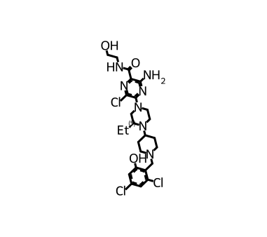 CC[C@H]1CN(c2nc(N)c(C(=O)NCCO)nc2Cl)CCN1C1CCN(Cc2c(O)cc(Cl)cc2Cl)CC1